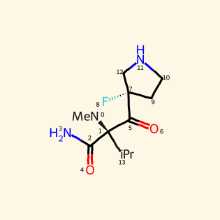 CN[C@@](C(N)=O)(C(=O)[C@]1(F)CCNC1)C(C)C